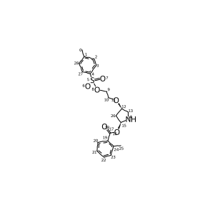 Cc1ccc(S(=O)(=O)OCCO[C@H]2CN[C@@H](OC(=O)c3ccccc3C)C2)cc1